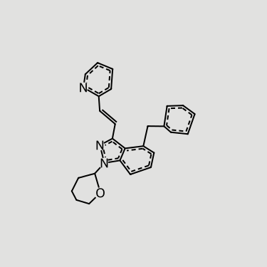 C(=Cc1nn(C2CCCCO2)c2cccc(Cc3ccccc3)c12)c1ccccn1